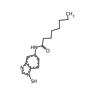 CCCCCCCC(=O)Nc1ccc2c(c1)ncn2S